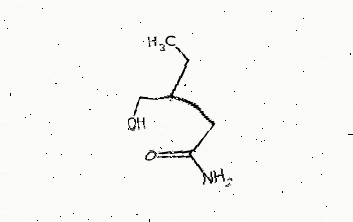 CC[C](CO)CC(N)=O